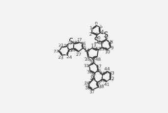 c1ccc2c(c1)Sc1cccc(-c3cc(-c4ccc5sc6ccccc6c5c4)cc(-c4ccc5c6ccccc6c6ccccc6c5c4)c3)c1S2